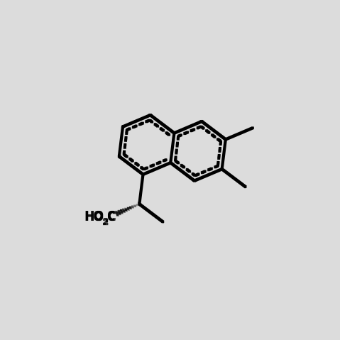 Cc1cc2cccc([C@H](C)C(=O)O)c2cc1C